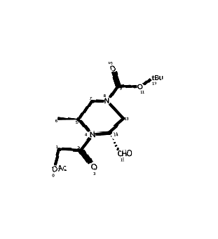 CC(=O)OCC(=O)N1[C@@H](C)CN(C(=O)OC(C)(C)C)C[C@@H]1C=O